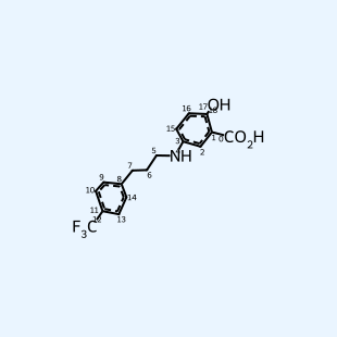 O=C(O)c1cc(NCCCc2ccc(C(F)(F)F)cc2)ccc1O